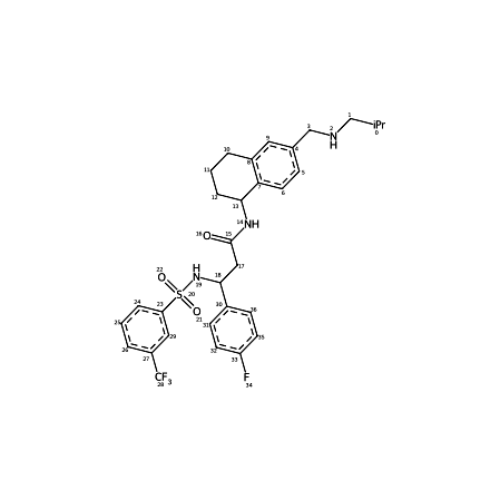 CC(C)CNCc1ccc2c(c1)CCCC2NC(=O)CC(NS(=O)(=O)c1cccc(C(F)(F)F)c1)c1ccc(F)cc1